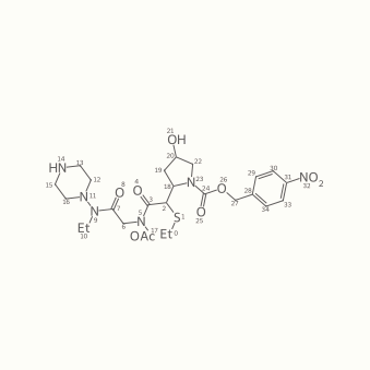 CCSC(C(=O)N(CC(=O)N(CC)N1CCNCC1)OC(C)=O)C1CC(O)CN1C(=O)OCc1ccc([N+](=O)[O-])cc1